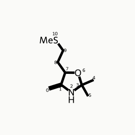 C=C1NC(C)(C)OC1CCSC